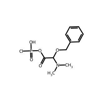 CN(C)C(OCc1ccccc1)C(=O)OP(=O)(O)Cl